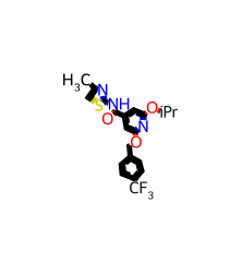 Cc1csc(NC(=O)c2cc(OCc3ccc(C(F)(F)F)cc3)nc(OC(C)C)c2)n1